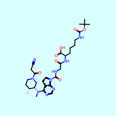 C[C@@H]1CCN(C(=O)CC#N)C[C@@H]1N(C)c1ncnc2c1ccn2C(=O)NCC(=O)NC(CCCCNC(=O)OC(C)(C)C)C(=O)O